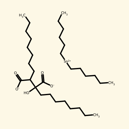 CCCCCCCCC(C(=O)[O-])C(O)(CCCCCCCC)C(=O)[O-].CCCCC[CH2][Sn+2][CH2]CCCCC